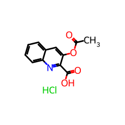 CC(=O)Oc1cc2ccccc2nc1C(=O)O.Cl